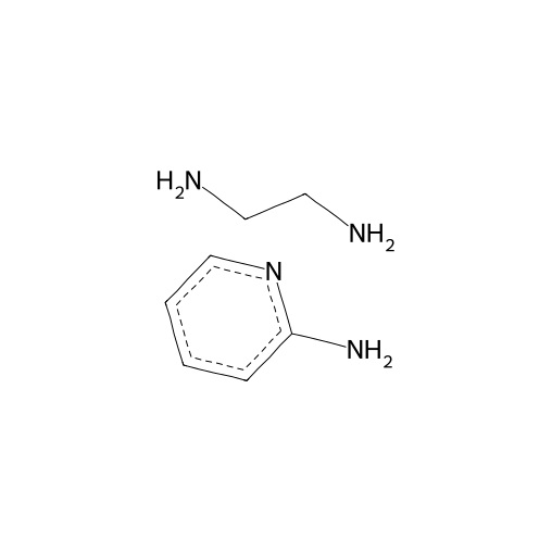 NCCN.Nc1ccccn1